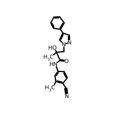 Cc1cc(NC(=O)C(C)(O)Cn2cc(-c3ccccc3)cn2)ccc1C#N